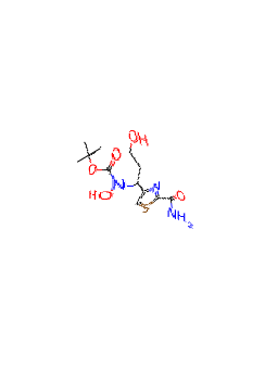 CC(C)(C)OC(=O)N(O)C(CCO)c1csc(C(N)=O)n1